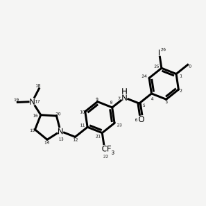 Cc1ccc(C(=O)Nc2ccc(CN3CCC(N(C)C)C3)c(C(F)(F)F)c2)cc1I